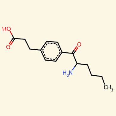 CCCCC(N)C(=O)c1ccc(CCC(=O)O)cc1